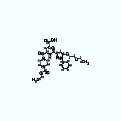 CCOCCOc1cc(C(=O)NC(CCC(=O)O)C(=O)N2CCN(C(=O)OCC)CC2)nn1-c1ccccc1